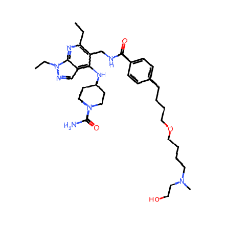 CCc1nc2c(cnn2CC)c(NC2CCN(C(N)=O)CC2)c1CNC(=O)c1ccc(CCCCOCCCCN(C)CCO)cc1